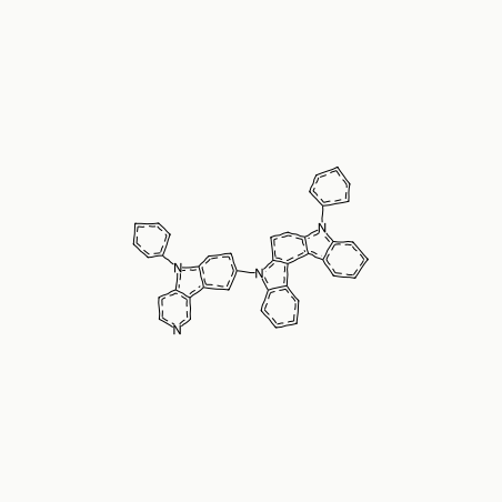 c1ccc(-n2c3ccncc3c3cc(-n4c5ccccc5c5c6c7ccccc7n(-c7ccccc7)c6ccc54)ccc32)cc1